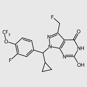 O=c1[nH]c(O)nc2c1c(CF)nn2C(c1ccc(OC(F)(F)F)c(F)c1)C1CC1